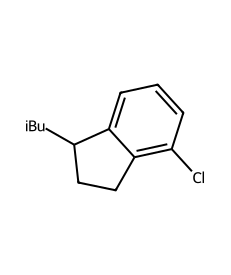 CCC(C)C1CCc2c(Cl)cccc21